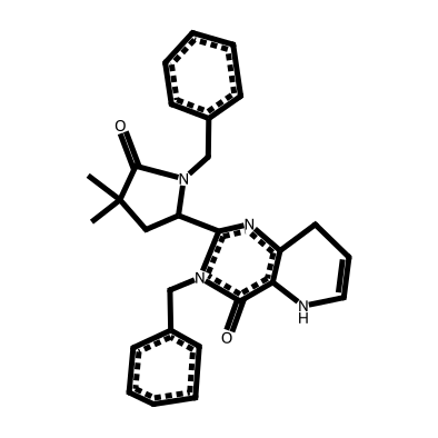 CC1(C)CC(c2nc3c(c(=O)n2Cc2ccccc2)NC=CC3)N(Cc2ccccc2)C1=O